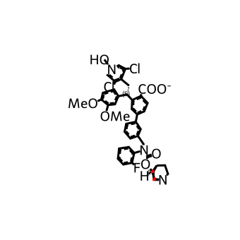 COc1ccc([C@H](Cc2c(Cl)c[n+](O)cc2Cl)c2cc(-c3cccc(CN(C(=O)O[C@H]4CN5CCC4CC5)c4ccccc4F)c3)ccc2C(=O)[O-])cc1OC